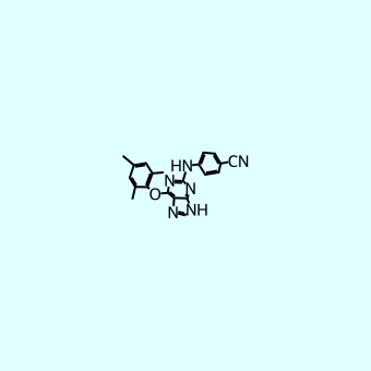 Cc1cc(C)c(Oc2nc(Nc3ccc(C#N)cc3)nc3[nH]cnc23)c(C)c1